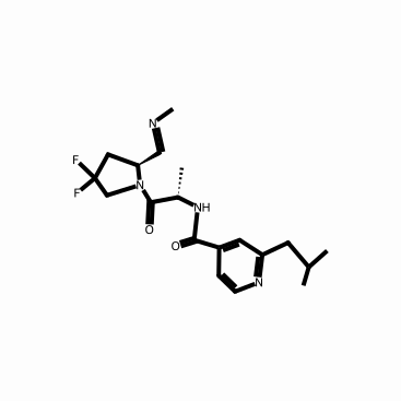 C/N=C/[C@@H]1CC(F)(F)CN1C(=O)[C@H](C)NC(=O)c1ccnc(CC(C)C)c1